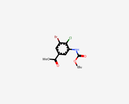 COC(=O)c1cc(Br)c(Cl)c(NC(=O)OC(C)(C)C)c1